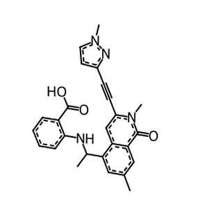 Cc1cc(C(C)Nc2ccccc2C(=O)O)c2cc(C#Cc3ccn(C)n3)n(C)c(=O)c2c1